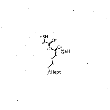 CCCCCCCCCCCC(=O)OC(=O)CS.[NaH]